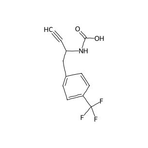 C#CC(Cc1ccc(C(F)(F)F)cc1)NC(=O)O